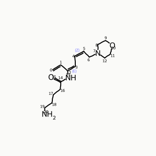 C=C/C(=C\C=C/CN1CCOCC1)NC(=O)CCCCN